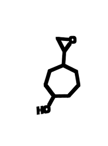 OC1CCCC(C2CO2)CC1